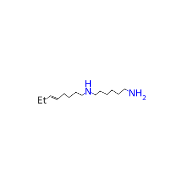 CCC=CCCCCNCCCCCCN